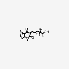 [2H]C([2H])(CCCN1C(=O)C2C(N=CN2C)N(C)C1=O)[C@H](C)O